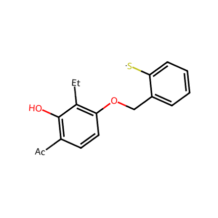 CCc1c(OCc2ccccc2[S])ccc(C(C)=O)c1O